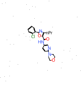 CCCc1nc(-c2ccccc2Cl)oc1C(=O)Nc1ccc(N2CCOCC2)nc1